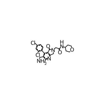 Cc1nc2c(c(-c3ccc(Cl)cc3Cl)c1CN)C(=O)N(CC(=O)NC1CCOCC1)C2